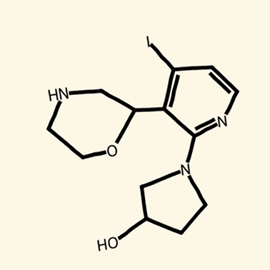 OC1CCN(c2nccc(I)c2C2CNCCO2)C1